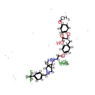 COc1ccc(O[C@@H](Cc2ccc(OCCN[C@H]3C4CN(Cc5ccc(C(F)(F)F)cc5)C[C@@H]43)cc2)C(=O)O)cc1.Cl.Cl